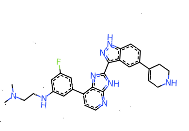 CN(C)CCNc1cc(F)cc(-c2ccnc3[nH]c(-c4n[nH]c5ccc(C6=CCNCC6)cc45)nc23)c1